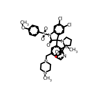 COc1ccc(S(=O)(=O)N2C(=O)C(c3cc(CN4CCN(C)CC4)ccc3OC)(N3CCCC3c3ncco3)c3cc(Cl)c(Cl)cc32)cc1